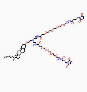 CC(C)CCCC(C)C1CCC2C3CC=C4CC(OCCN(CCNC(=O)CCOCCOCCOCCOCCNC(=O)CCCN5C(=O)C=CC5=O)CCNC(=O)CCOCCOCCOCCOCCNC(=O)CCCN5C(=O)C=CC5=O)CCC4(C)C3CCC12C